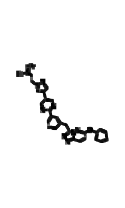 CCCN(CC)CCn1cc(-c2cnc(-c3cccc(Cc4nnc5ccc(Oc6ccccc6)nn45)c3)nc2)cn1